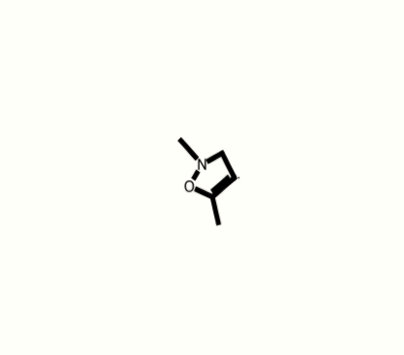 CC1=[C]CN(C)O1